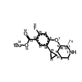 C[C@@H]1NCCC[C@H]1Oc1cc(F)c(C(=O)OC(C)(C)C)cc1C1CC1